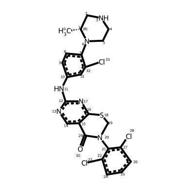 C[C@@H]1CNCCN1c1ccc(Nc2ncc3c(n2)SCN(c2c(Cl)cccc2Cl)C3=O)cc1Cl